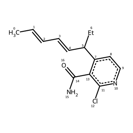 C/C=C/C=C/C(CC)c1ccnc(Cl)c1C(N)=O